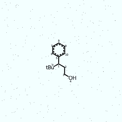 CC(C)(C)C(CCO)c1ccccc1